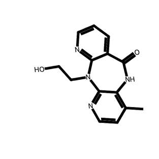 Cc1ccnc2c1NC(=O)c1cccnc1N2CCO